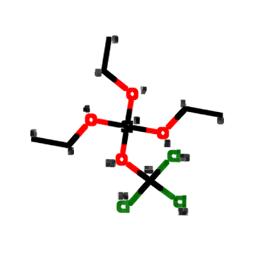 CCO[Si](OCC)(OCC)OC(Cl)(Cl)Cl